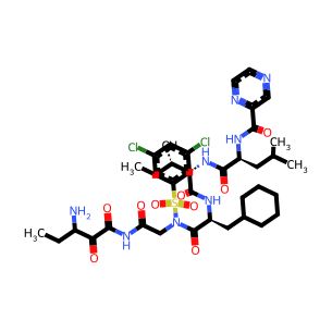 CCC(N)C(=O)C(=O)NC(=O)CN(C(=O)[C@H](CC1CCCCC1)NC(=O)[C@@H](NC(=O)[C@H](CC(C)C)NC(=O)c1cnccn1)[C@@H](C)CC)S(=O)(=O)c1cc(Cl)cc(Cl)c1